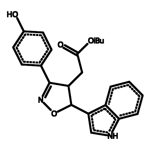 CC(C)COC(=O)CC1C(c2ccc(O)cc2)=NOC1c1c[nH]c2ccccc12